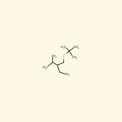 CCC(CSC(C)(C)C)C(C)C